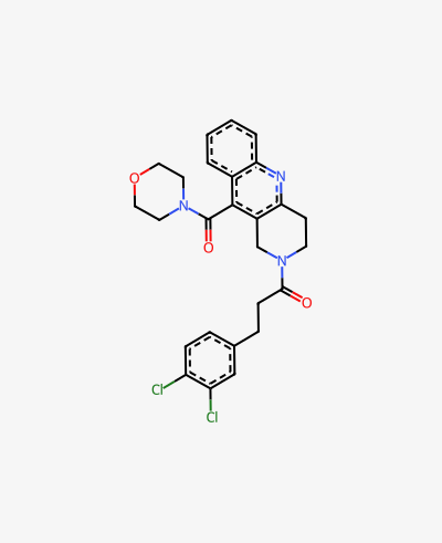 O=C(CCc1ccc(Cl)c(Cl)c1)N1CCc2nc3ccccc3c(C(=O)N3CCOCC3)c2C1